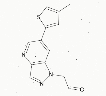 Cc1csc(-c2cnc3cnn(CC=O)c3c2)c1